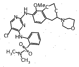 COc1c(Nc2ncc(Cl)c(Nc3ccccc3S(=O)(=O)N(C)C)n2)ccc2c1CCCC(N1CCOCC1)C2